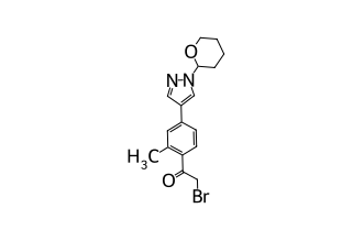 Cc1cc(-c2cnn(C3CCCCO3)c2)ccc1C(=O)CBr